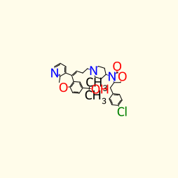 CC(C)(O)c1ccc2c(c1)C(=CCCN1CCC(N3C(=O)OCC3Cc3ccc(Cl)cc3)CC1)c1cccnc1CO2